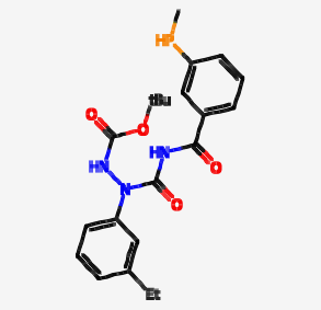 CCc1cccc(N(NC(=O)OC(C)(C)C)C(=O)NC(=O)c2cccc(PC)c2)c1